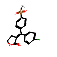 CS(=O)(=O)c1ccc(/C(=C2\CCOC2=O)c2ccc(F)cc2)cc1